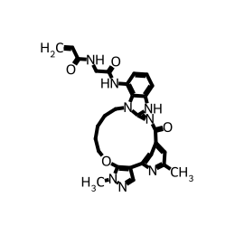 C=CC(=O)NCC(=O)Nc1cccc2c1N1CCCCCOc3c(cnn3C)-c3cc(cc(C)n3)C(=O)/N=C/1N2